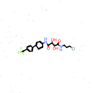 O=C(Nc1ccc(-c2ccc(C(F)(F)F)cc2)cc1)C(O)[C@@H](O)C(=O)NCCCCl